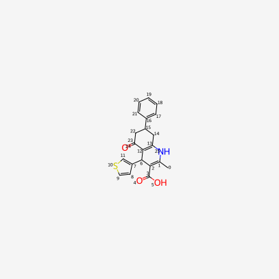 CC1=C(C(=O)O)C(c2ccsc2)C2=C(CC(c3ccccc3)CC2=O)N1